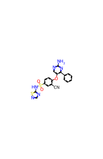 N#Cc1cc(S(=O)(=O)Nc2ncns2)ccc1Oc1cnc(N)nc1-c1ccccc1